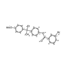 CCC(C)(c1ccc(OC)cc1)c1ccc(OC(=O)c2cccc(C(C)=O)c2)cc1